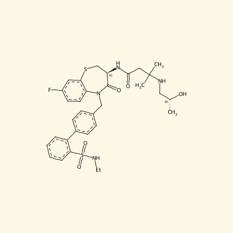 CCNS(=O)(=O)c1ccccc1-c1ccc(CN2C(=O)[C@H](NC(=O)CC(C)(C)NC[C@@H](C)O)CSc3cc(F)ccc32)cc1